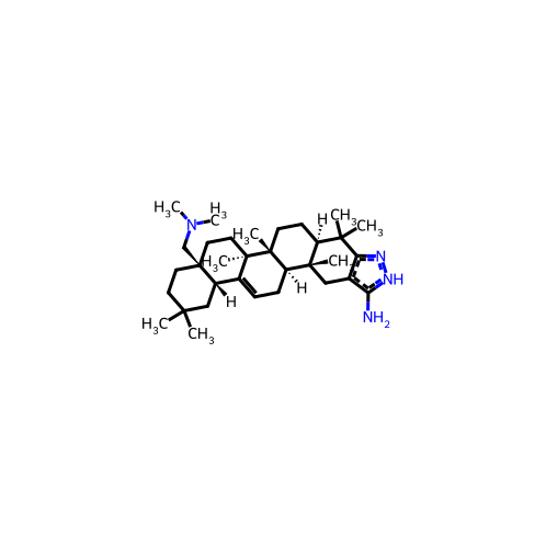 CN(C)C[C@]12CCC(C)(C)C[C@H]1C1=CC[C@@H]3[C@@]4(C)Cc5c(n[nH]c5N)C(C)(C)[C@@H]4CC[C@@]3(C)[C@]1(C)CC2